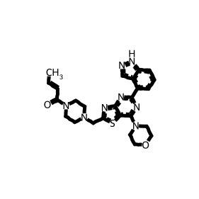 CC=CC(=O)N1CCN(Cc2nc3nc(-c4cccc5[nH]ncc45)nc(N4CCOCC4)c3s2)CC1